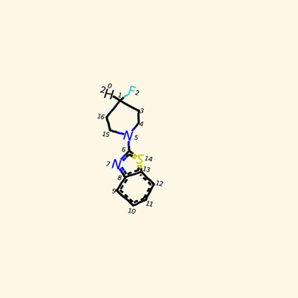 [2H]C1(F)CCN(c2nc3ccccc3s2)CC1